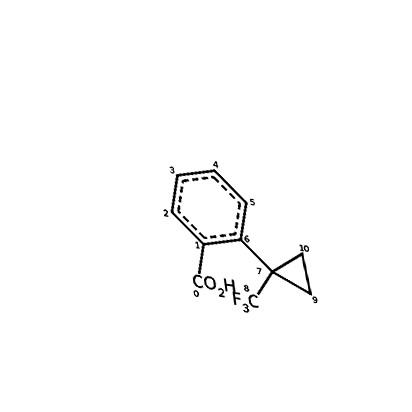 O=C(O)c1ccccc1C1(C(F)(F)F)CC1